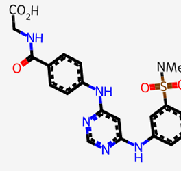 CNS(=O)(=O)c1cccc(Nc2cc(Nc3ccc(C(=O)NCC(=O)O)cc3)ncn2)c1